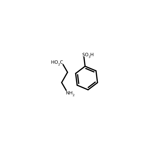 NCCC(=O)O.O=S(=O)(O)c1ccccc1